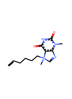 C=CCCCC[N+]1(C)C=Nc2c1c(=O)[nH]c(=O)n2C